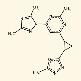 CC1=NN(c2cc(C3CC3c3nnc(C)o3)nc(C)n2)C(C)=[N+]1